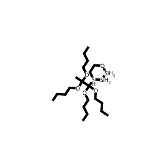 CCCCOC(C)(OCCCC)C(OCCCC)(OCCCC)[SiH]1CCO[SiH2][SiH2]1